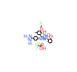 COc1ccccc1-n1nc(C(Nc2ccc(C(=N)N)cc2)c2cc(C)cc(OCCF)c2F)[nH]c1=O.O=C(O)C(F)(F)F